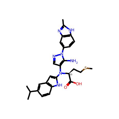 CSCC[C@@H](C(=O)O)N(c1cc2cc(C(C)C)ccc2[nH]1)c1cnn(-c2ccc3[nH]c(C)nc3c2)c1N